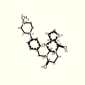 CN1CCN(c2ccc(CN3C(=O)CCn4c3nc3ccsc3c4=O)cc2)CC1